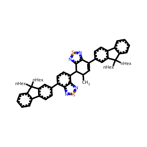 CCCCCCC1(CCCCCC)c2ccccc2-c2ccc(C3=CC(C)C(c4ccc(-c5ccc6c(c5)C(CCCCCC)(CCCCCC)c5ccccc5-6)c5nsnc45)c4nsnc43)cc21